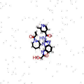 C=CC(=O)N1CCCC[C@@H](n2c(NC(=O)c3ccnc(C)c3)nc3ccc4oc(CO)nc4c32)C1